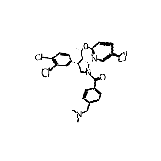 C[C@H](Oc1ccc(Cl)cn1)[C@@H]1CN(C(=O)c2ccc(CN(C)C)cc2)C[C@@H]1c1ccc(Cl)c(Cl)c1